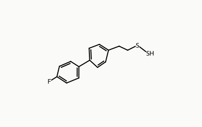 Fc1ccc(-c2ccc(CCSS)cc2)cc1